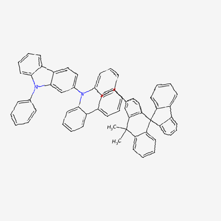 CC1(C)c2ccccc2C2(c3ccccc3-c3ccccc32)c2ccc(-c3cccc(N(c4ccc5c6ccccc6n(-c6ccccc6)c5c4)c4ccccc4-c4ccccc4)c3)cc21